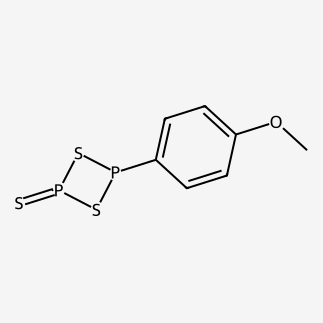 COc1ccc(P2S[P](=S)S2)cc1